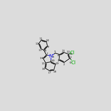 Clc1ccc(Cn2c(-c3ccccc3)cc3ccccc32)cc1Cl